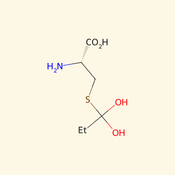 CCC(O)(O)SC[C@H](N)C(=O)O